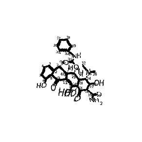 C[C@H]1c2cccc(O)c2C(=O)C2=C(O)[C@]3(O)C(=O)C(C(N)=O)C(O)[C@@H](N(C)C)[C@@H]3[C@@H](OC(=O)Nc3ccccc3)[C@@H]21